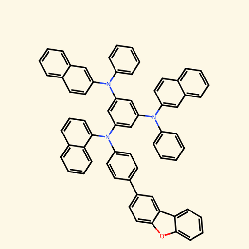 c1ccc(N(c2cc(N(c3ccccc3)c3ccc4ccccc4c3)cc(N(c3ccc(-c4ccc5oc6ccccc6c5c4)cc3)c3cccc4ccccc34)c2)c2ccc3ccccc3c2)cc1